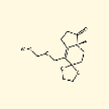 COCOCC1=C2CCC(=O)[C@]2(C)CCC12OCCO2